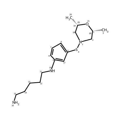 C[C@@H]1CN(Sc2cccc(NCCCCCN)c2)C[C@H](C)O1